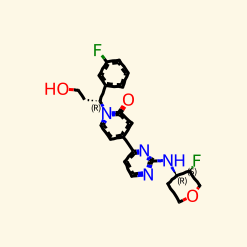 O=c1cc(-c2ccnc(N[C@@H]3CCOC[C@H]3F)n2)ccn1[C@H](CCO)c1cccc(F)c1